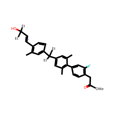 CCC(O)(/C=C/c1ccc(C(CC)(CC)c2cc(C)c(-c3ccc(CC(=O)OC)c(F)c3)c(C)c2)cc1C)CC